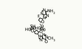 Cn1cnc2c(ncn2[C@@H]2C[C@H](OP(=O)(O)S)CC2OP(=O)(O)OC[C@@H]2C[C@@H](F)[C@H](n3cnc4c(N)ncnc43)O2)c1=O